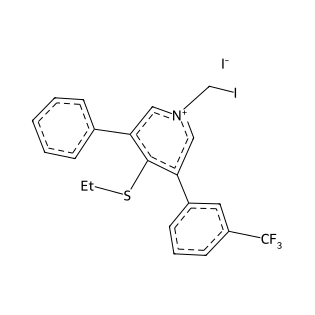 CCSc1c(-c2ccccc2)c[n+](CI)cc1-c1cccc(C(F)(F)F)c1.[I-]